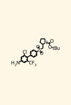 CC(C)(C)OC(=O)N1CCCC1CS(=O)(=O)c1ccc(-c2c(Cl)cc(N)cc2C(F)(F)F)cc1